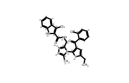 CCc1cc(C(=O)c2ccccc2Cl)c(-n2c(C)nnc2CNC(=O)c2[nH]c3ccccc3c2Cl)s1